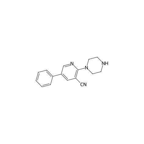 N#Cc1cc(-c2ccccc2)cnc1N1CCNCC1